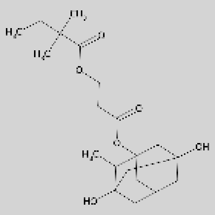 CCC(C)(C)C(=O)OCCC(=O)OC12CC3CC(O)(CC(O)(C3)C1C)C2